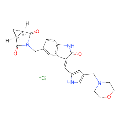 Cl.O=C1Nc2ccc(CN3C(=O)[C@H]4C[C@H]4C3=O)cc2C1=Cc1cc(CN2CCOCC2)c[nH]1